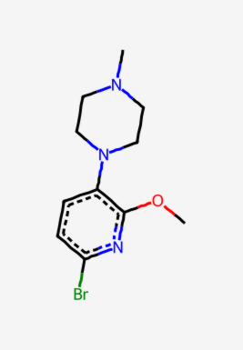 COc1nc(Br)ccc1N1CCN(C)CC1